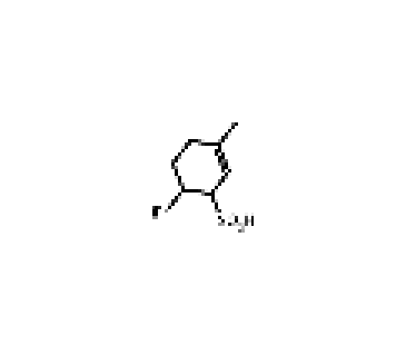 CC1=CC(S(=O)(=O)O)C(C(C)C)CC1